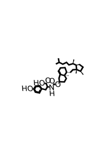 CC(C)CCC[C@@H](C)[C@H]1CC[C@@H](C)[C@]1(C)CC[C@H]1CCC=C2C[C@@H](OC(=O)NC(Cc3ccc(O)cc3)C(=O)O)CC[C@@]21C